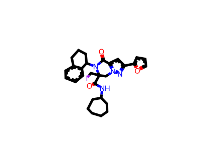 O=C1c2cc(-c3ccco3)nn2CC(CI)(C(=O)NC2CCCCCC2)N1C1CCCc2ccccc21